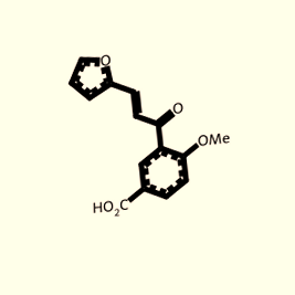 COc1ccc(C(=O)O)cc1C(=O)C=Cc1ccco1